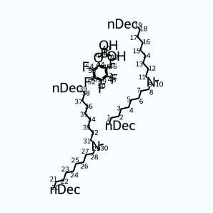 CCCCCCCCCCCCCCCCCCN(C)CCCCCCCCCCCCCCCCCC.CCCCCCCCCCCCCCCCCCN(C)CCCCCCCCCCCCCCCCCC.OB(O)Oc1c(F)c(F)c(F)c(F)c1F